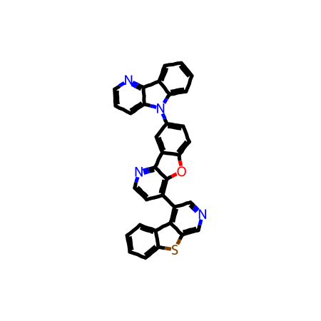 c1ccc2c(c1)sc1cncc(-c3ccnc4c3oc3ccc(-n5c6ccccc6c6ncccc65)cc34)c12